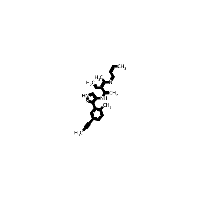 C=C/C(C(=C)Nc1c[nH]nc1-c1cc(C#CC)ccc1C)=C(C)/N=C\C=C/C